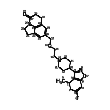 CC1CC(F)=Cc2onc(C3CCN(CCOCc4cc5c6c(c4)CCN6C(=O)CC5)CC3)c21